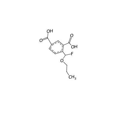 CCCOC(F)c1ccc(C(=O)O)cc1C(=O)O